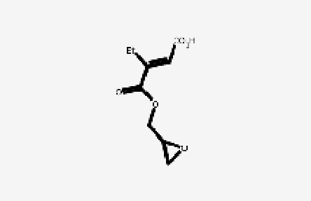 CCC(=CC(=O)O)C(=O)OCC1CO1